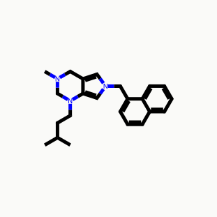 CC(C)CCN1CN(C)Cc2cn(Cc3cccc4ccccc34)cc21